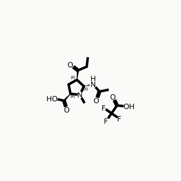 CCC(=O)[C@@H]1C[C@H](C(=O)O)N(C)[C@H]1NC(C)=O.O=C(O)C(F)(F)F